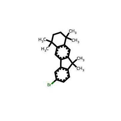 CC1(C)CCC(C)(C)c2cc3c(cc21)-c1cc(Br)ccc1C3(C)C